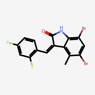 Cc1c(Br)cc(Br)c2c1C(=Cc1ccc(F)cc1F)C(=O)N2